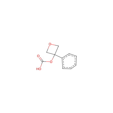 O=C(O)OC1(c2ccccc2)COC1